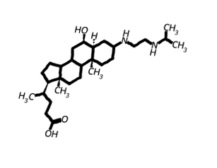 CC(C)NCCNC1CC[C@]2(C)C3CC[C@@]4(C)C(CC[C@@H]4C(C)CCC(=O)O)C3C[C@@H](O)[C@H]2C1